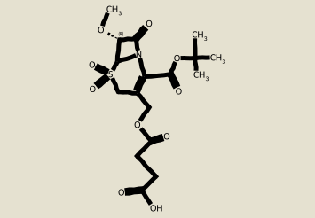 CO[C@@H]1C(=O)N2C(C(=O)OC(C)(C)C)=C(COC(=O)CCC(=O)O)CS(=O)(=O)C12